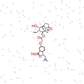 C=C[C@]1(C)C[C@@H](OC(=O)COc2ccc3c(c2)B(O)OC3CN(C)C)[C@]2(C)[C@H](C)CC[C@]3(CCC(=O)[C@H]32)[C@@H](C)[C@@H]1O